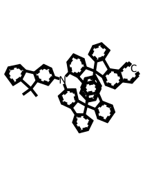 CC1(C)c2ccccc2-c2ccc(N(c3ccc4c(c3)C3(c5ccccc5-c5ccccc53)c3ccccc3-4)c3cccc4c3-c3ccccc3C43c4ccccc4-c4c3ccc3ccccc43)cc21